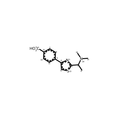 CC(c1nc(-c2ccc(C(=O)O)cc2)cs1)N(C)C